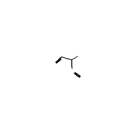 C=CC(C)[S+]=O